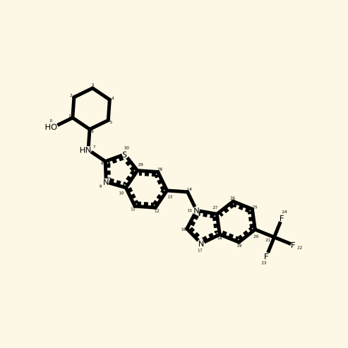 OC1CCCCC1Nc1nc2ccc(Cn3cnc4cc(C(F)(F)F)ccc43)cc2s1